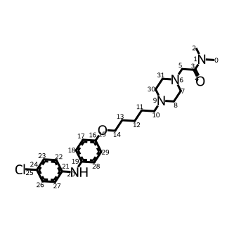 CN(C)C(=O)CN1CCN(CCCCCOc2ccc(Nc3ccc(Cl)cc3)cc2)CC1